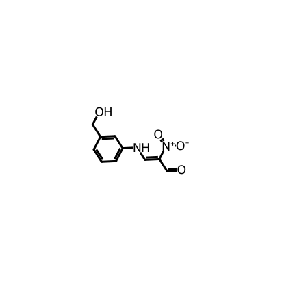 O=CC(=CNc1cccc(CO)c1)[N+](=O)[O-]